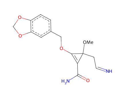 COC1(CC=N)C(OCc2ccc3c(c2)OCO3)=C1C(N)=O